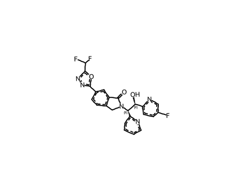 O=C1c2cc(-c3nnc(C(F)F)o3)ccc2CN1[C@H](c1ccccn1)[C@@H](O)c1ccc(F)cn1